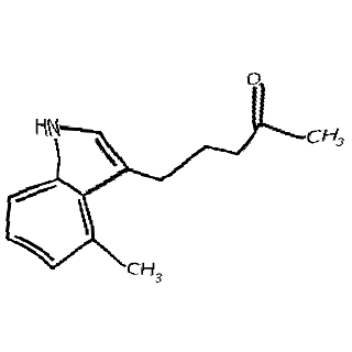 CC(=O)CCCc1c[nH]c2cccc(C)c12